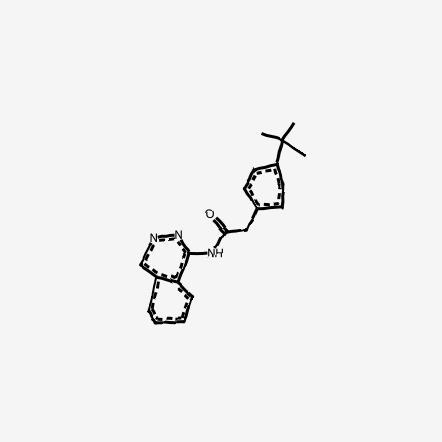 CC(C)(C)c1ccc(CC(=O)Nc2nncc3ccccc23)cc1